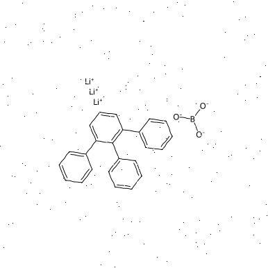 [Li+].[Li+].[Li+].[O-]B([O-])[O-].c1ccc(-c2cccc(-c3ccccc3)c2-c2ccccc2)cc1